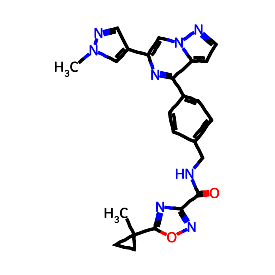 Cn1cc(-c2cn3nccc3c(-c3ccc(CNC(=O)c4noc(C5(C)CC5)n4)cc3)n2)cn1